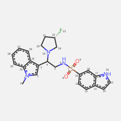 Cn1cc(C(CNS(=O)(=O)c2ccc3cc[nH]c3c2)N2CC[C@H](F)C2)c2ccccc21